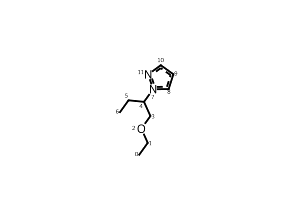 CCOCC(CC)n1cccn1